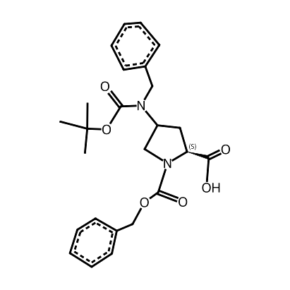 CC(C)(C)OC(=O)N(Cc1ccccc1)C1C[C@@H](C(=O)O)N(C(=O)OCc2ccccc2)C1